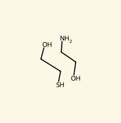 NCCO.OCCS